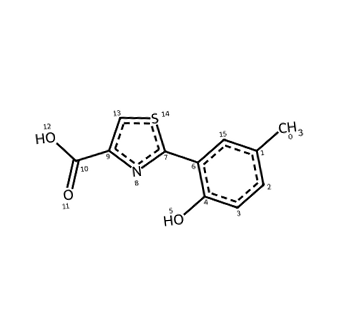 Cc1ccc(O)c(-c2nc(C(=O)O)cs2)c1